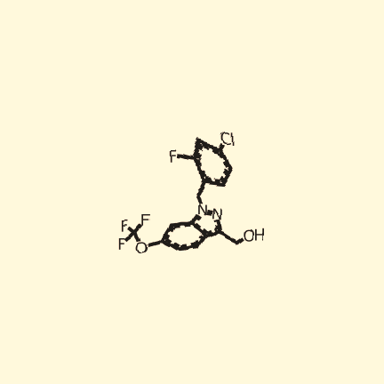 OCc1nn(Cc2ccc(Cl)cc2F)c2cc(OC(F)(F)F)ccc12